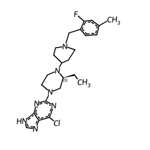 CC[C@H]1CN(c2nc(Cl)c3nc[nH]c3n2)CCN1C1CCN(Cc2ccc(C)cc2F)CC1